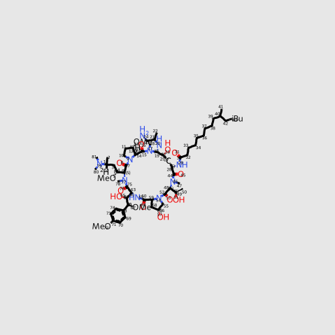 [2H]C(C)(C[C@@H](OC)[C@H]1C(=O)N2CC[C@H](OC)[C@H]2C(=O)N(C)[C@H](NC(C)CN)[C@H](O)C[C@H](NC(=O)CCCCCCCCC(C)CC(C)CC)C(=O)N(C)[C@@H]([C@@H](C)O)C(=O)N2C[C@H](O)CC2C(=O)N[C@@H]([C@H](O)[C@@H](OC)c2ccc(OC)cc2)C(=O)N1C)N(C)C